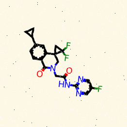 O=C(CN1CC2(CC2(F)F)c2cc(C3CC3)ccc2C1=O)Nc1ncc(F)cn1